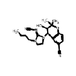 CCCCN1CCN(C2c3cc(C#N)ccc3OC(C)(C)C2O)C1=NC#N